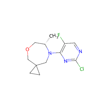 C[C@H]1COCC2(CC2)CN1c1nc(Cl)ncc1F